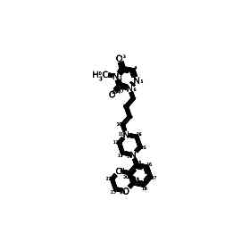 Cn1c(=O)cnn(CCCCN2CCN(c3cccc4c3OCCO4)CC2)c1=O